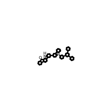 O=C1c2ccccc2-c2ccc3c([nH]c4ccc(-c5ccc6c(c5)c5ccc#cc5n6-c5cccc(-c6cc(-c7ccccc7)cc(-c7ccccc7)c6)c5)cc43)c21